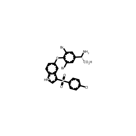 N[C@H](C(=O)O)c1cc(Br)c(Oc2ccc3[nH]cc(S(=O)(=O)c4ccc(Cl)cc4)c3c2)c(Br)c1